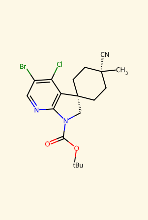 CC(C)(C)OC(=O)N1C[C@]2(CC[C@@](C)(C#N)CC2)c2c1ncc(Br)c2Cl